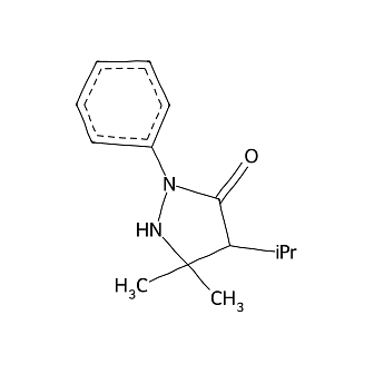 CC(C)C1C(=O)N(c2ccccc2)NC1(C)C